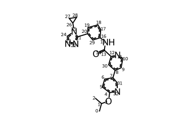 CC(C)Oc1ccc(-c2ccnc(C(=O)Nc3cccc(-c4nncn4C4CC4)c3)c2)cn1